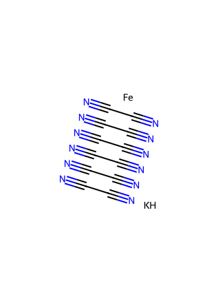 N#CC#N.N#CC#N.N#CC#N.N#CC#N.N#CC#N.N#CC#N.[Fe].[KH]